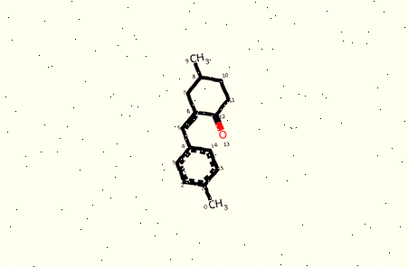 Cc1ccc(/C=C2/CC(C)CCC2=O)cc1